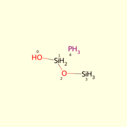 O[SiH2]O[SiH3].P